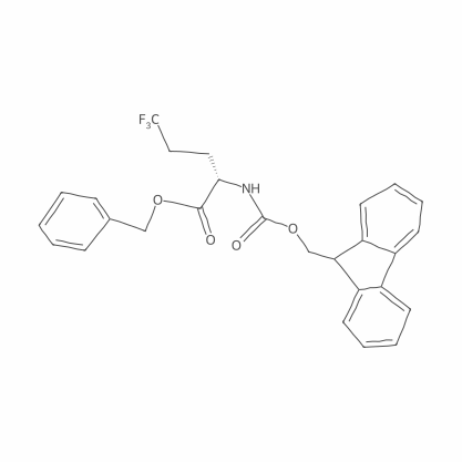 O=C(N[C@@H](CCC(F)(F)F)C(=O)OCc1ccccc1)OCC1c2ccccc2-c2ccccc21